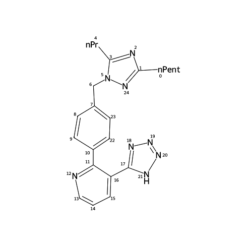 CCCCCc1nc(CCC)n(Cc2ccc(-c3ncccc3-c3nnn[nH]3)cc2)n1